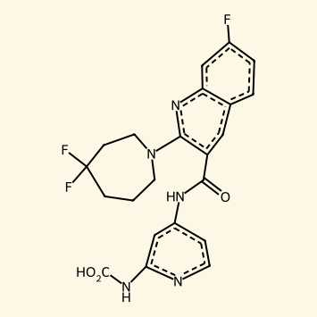 O=C(O)Nc1cc(NC(=O)c2cc3ccc(F)cc3nc2N2CCCC(F)(F)CC2)ccn1